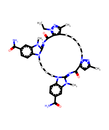 CCn1nc(C)c2c1C(=O)/N=C1\N(C)c3cc(C(N)=O)ccc3N1CCCCN1/C(=N/C(=O)c3cc(C)nn3CCCCC2)N(C)c2cc(C(N)=O)ccc21